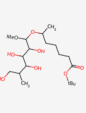 COC(OC(C)CCCCC(=O)OC(C)(C)C)C(O)C(O)C(O)C(C)CO